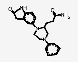 NC(=O)CCC1CN(c2ccccc2)CCN1c1ccc2c(c1)CC(=O)N2